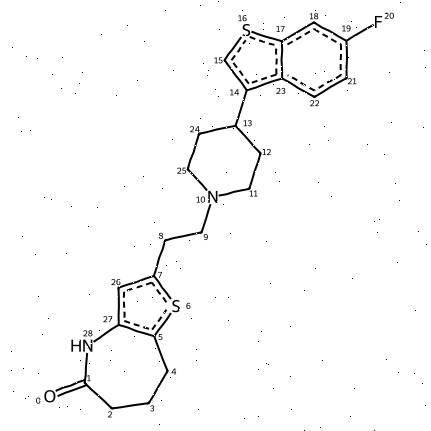 O=C1CCCc2sc(CCN3CCC(c4csc5cc(F)ccc45)CC3)cc2N1